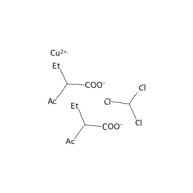 CCC(C(C)=O)C(=O)[O-].CCC(C(C)=O)C(=O)[O-].ClC(Cl)Cl.[Cu+2]